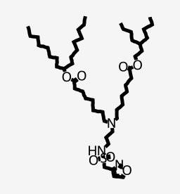 CCCCCCCCC(CCCCCCCC)OC(=O)CCCCCCCN(CCCCCCCC(=O)OCCC(CCCC)CCCC)CCCNS(=O)(=O)Cc1ccon1